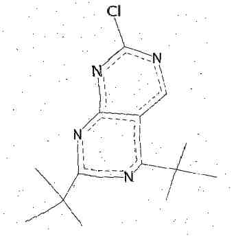 CC(C)(C)c1nc(C(C)(C)C)c2cnc(Cl)nc2n1